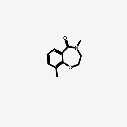 Cc1cccc2c1OCCN(C)C2=O